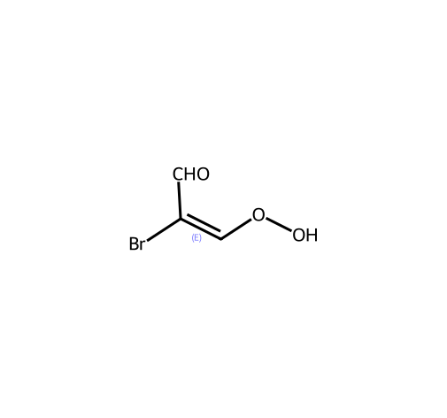 O=C/C(Br)=C\OO